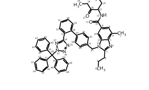 CCCc1nc2c(C)cc(C(=O)NC(CC)C(=O)CC)cc2n1Cc1ccc(-c2ccccc2-c2nnn(C(c3ccccc3)(c3ccccc3)c3ccccc3)n2)cc1